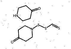 O=C1CCN(SSC=S)CC1.O=C1CCNCC1